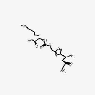 NCCCC[C@H](NC(=O)NCc1nc([C@@H](N)CC(N)=O)no1)C(=O)O